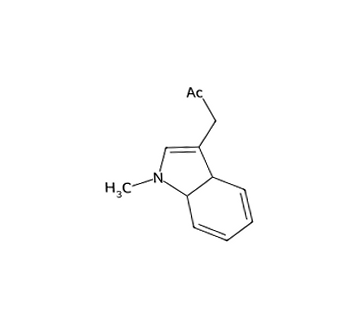 CC(=O)CC1=CN(C)C2C=CC=CC12